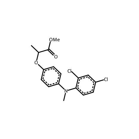 COC(=O)C(C)Oc1ccc(N(C)c2ccc(Cl)cc2Cl)cc1